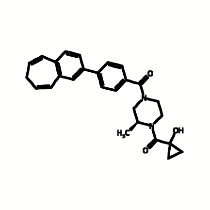 C[C@H]1CN(C(=O)c2ccc(-c3ccc4c(c3)C=CCC=C4)cc2)CCN1C(=O)C1(O)CC1